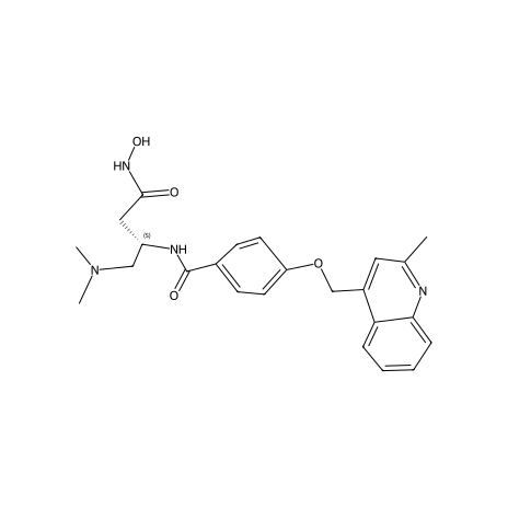 Cc1cc(COc2ccc(C(=O)N[C@@H](CC(=O)NO)CN(C)C)cc2)c2ccccc2n1